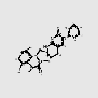 Cc1cc([C@H](C)C(=O)N2CC[C@@]3(CCc4cc(-c5ncccn5)c(C)nc4N3)C2)c(F)cn1